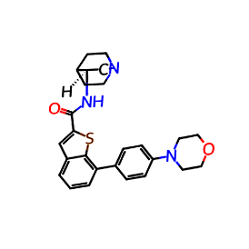 O=C(N[C@@H]1CN2CCC1CC2)c1cc2cccc(-c3ccc(N4CCOCC4)cc3)c2s1